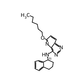 CCCCCCOc1ccc2ncnc(N[C@H]3CCCc4ccccc43)c2n1